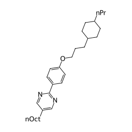 CCCCCCCCc1cnc(-c2ccc(OCCCC3CCC(CCC)CC3)cc2)nc1